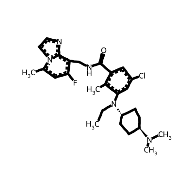 CCN(c1cc(Cl)cc(C(=O)NCc2c(F)cc(C)n3ccnc23)c1C)[C@H]1CC[C@H](N(C)C)CC1